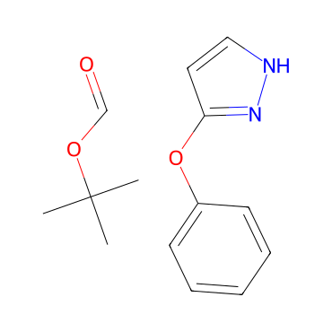 CC(C)(C)OC=O.c1ccc(Oc2cc[nH]n2)cc1